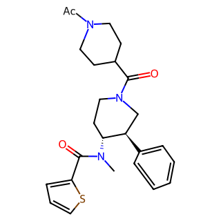 CC(=O)N1CCC(C(=O)N2CC[C@@H](N(C)C(=O)c3cccs3)[C@H](c3ccccc3)C2)CC1